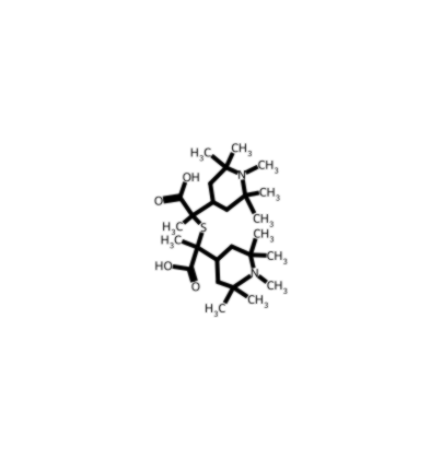 CN1C(C)(C)CC(C(C)(SC(C)(C(=O)O)C2CC(C)(C)N(C)C(C)(C)C2)C(=O)O)CC1(C)C